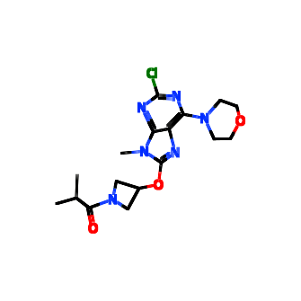 CC(C)C(=O)N1CC(Oc2nc3c(N4CCOCC4)nc(Cl)nc3n2C)C1